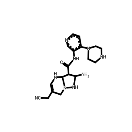 N#CCC1=CNC2C(C(=O)Nc3cnccc3N3CCNCC3)C(N)NN2C1